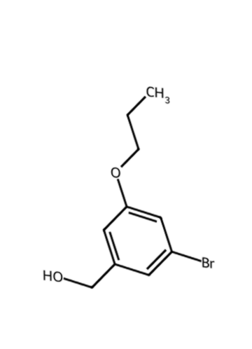 CCCOc1cc(Br)cc(CO)c1